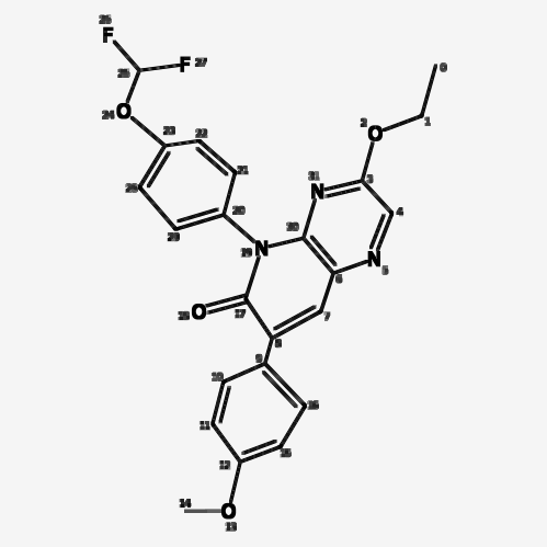 CCOc1cnc2cc(-c3ccc(OC)cc3)c(=O)n(-c3ccc(OC(F)F)cc3)c2n1